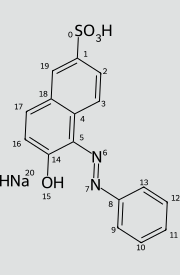 O=S(=O)(O)c1ccc2c(/N=N/c3ccccc3)c(O)ccc2c1.[NaH]